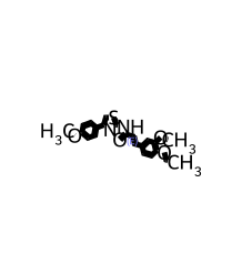 CCOc1ccc(/C=C/C(=O)NC2=NC(c3ccc(OC)cc3)CS2)cc1OC